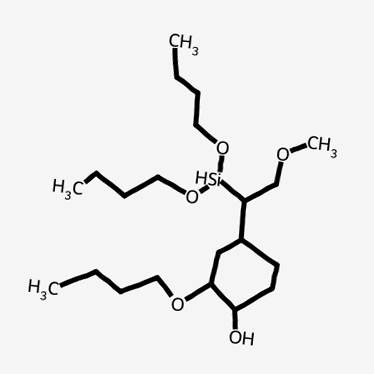 CCCCOC1CC(C(COC)[SiH](OCCCC)OCCCC)CCC1O